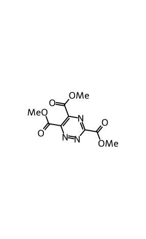 COC(=O)c1nnc(C(=O)OC)c(C(=O)OC)n1